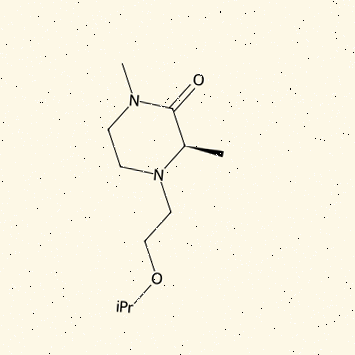 CC(C)OCCN1CCN(C)C(=O)[C@H]1C